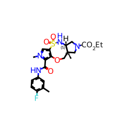 CCOC(=O)N1C[C@H]2NS(=O)(=O)c3cn(C)c(C(=O)Nc4ccc(F)c(C)c4)c3OC[C@@]2(C)C1